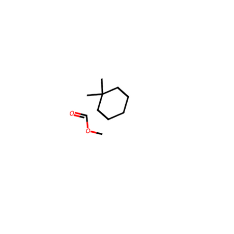 CC1(C)CCCCC1.COC=O